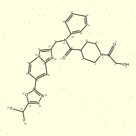 O=C(CO)N1CCC(C(=O)N(Cc2cn3ccc(-c4nnc(C(F)F)o4)cc3n2)c2ccccc2)CC1